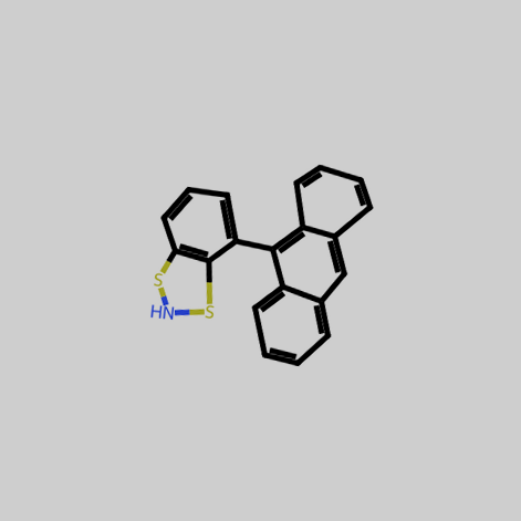 c1cc2c(c(-c3c4ccccc4cc4ccccc34)c1)SNS2